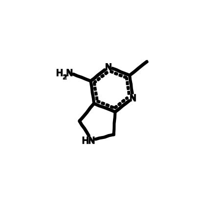 Cc1nc(N)c2c(n1)CNC2